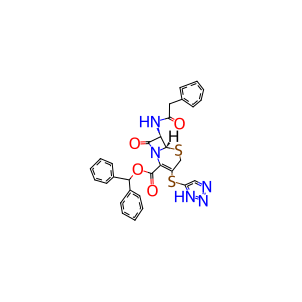 O=C(Cc1ccccc1)N[C@@H]1C(=O)N2C(C(=O)OC(c3ccccc3)c3ccccc3)=C(Sc3cnn[nH]3)CS[C@@H]12